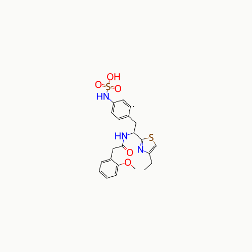 CCc1csc(C(Cc2[c]cc(NS(=O)(=O)O)cc2)NC(=O)Cc2ccccc2OC)n1